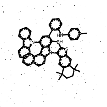 Cc1ccc(Nc2ccccc2-c2cc(-n3c4ccccc4c4ccccc43)c3c4c5ccccc5ccc4n4c3c2Bc2sc3cc5c(cc3c2-4)C(C)(C)CCC5(C)C)cc1